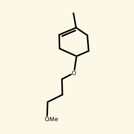 COCCCOC1CC=C(C)CC1